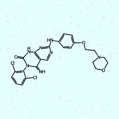 N=c1c2cnc(Nc3ccc(OCCN4CCOCC4)cc3)nc2[nH]c(=O)n1-c1c(Cl)cccc1Cl